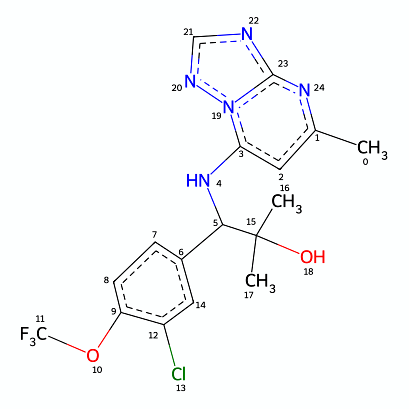 Cc1cc(NC(c2ccc(OC(F)(F)F)c(Cl)c2)C(C)(C)O)n2ncnc2n1